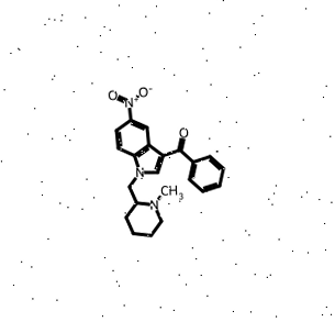 CN1CCCCC1Cn1cc(C(=O)c2ccccc2)c2cc([N+](=O)[O-])ccc21